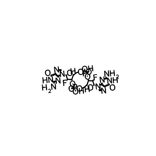 Nc1nc2c(ncn2[C@@H]2O[C@@H]3COP(=O)(O)OC4C(F)[C@H](n5cnc6c(=O)[nH]c(N)nc65)O[C@@H]4COP(=O)(O)OC3C2F)c(=O)[nH]1